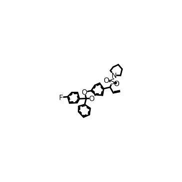 C=CC(c1ccc2c(c1)OC(c1ccccc1)(c1ccc(F)cc1)O2)S(=O)(=O)N1CCCCC1